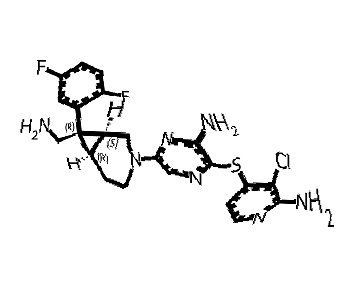 NC[C@]1(c2cc(F)ccc2F)[C@@H]2CCN(c3cnc(Sc4ccnc(N)c4Cl)c(N)n3)C[C@@H]21